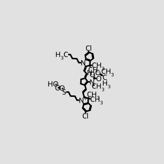 CCCCCN1/C(=C/C=C2\CCC(/C=C/C3=[N+](CCCCSOOO)c4cc(Cl)ccc4C3(C)C)=C2N(C)C(=O)OC(C)(C)C)C(C)(C)c2ccc(Cl)cc21